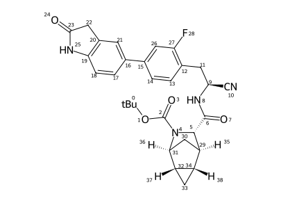 CC(C)(C)OC(=O)N1[C@H](C(=O)N[C@H](C#N)Cc2ccc(-c3ccc4c(c3)CC(=O)N4)cc2F)[C@@H]2C[C@H]1[C@H]1C[C@@H]21